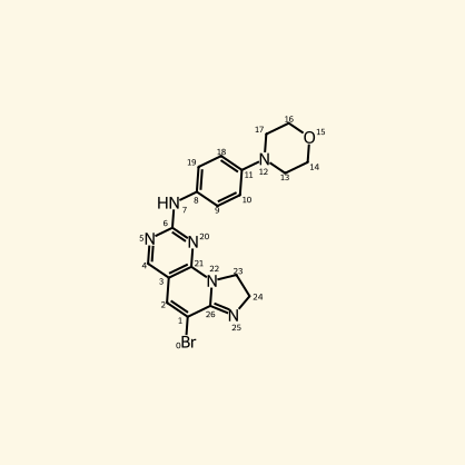 BrC1=Cc2cnc(Nc3ccc(N4CCOCC4)cc3)nc2N2CCN=C12